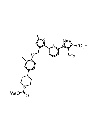 COC(=O)N1CCC(c2ccc(OCc3cc(C)sc3-c3cccc(-n4ncc(C(=O)O)c4C(F)(F)F)n3)c(C)c2)CC1